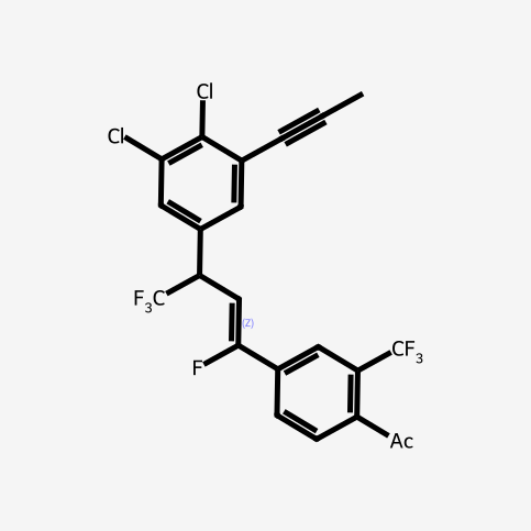 CC#Cc1cc(C(/C=C(\F)c2ccc(C(C)=O)c(C(F)(F)F)c2)C(F)(F)F)cc(Cl)c1Cl